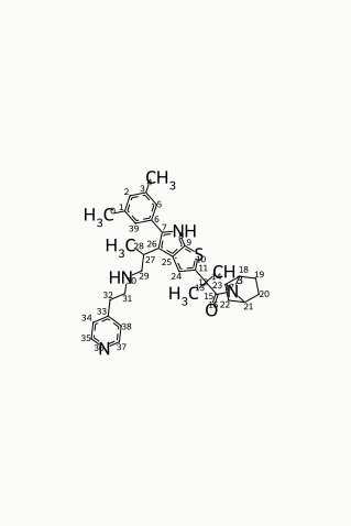 Cc1cc(C)cc(-c2[nH]c3sc(C(C)(C)C(=O)N4C5CCC4CC5)cc3c2C(C)CNCCc2ccncc2)c1